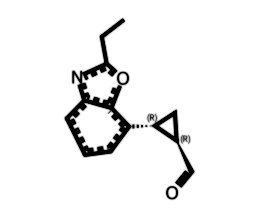 CCc1nc2cccc([C@@H]3C[C@H]3C=O)c2o1